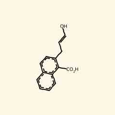 O=C(O)c1c(CC=CO)ccc2ccccc12